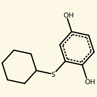 Oc1ccc(O)c(SC2CCCCC2)c1